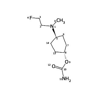 CN(CCF)[C@H]1CC[C@H](OC(N)=O)CC1